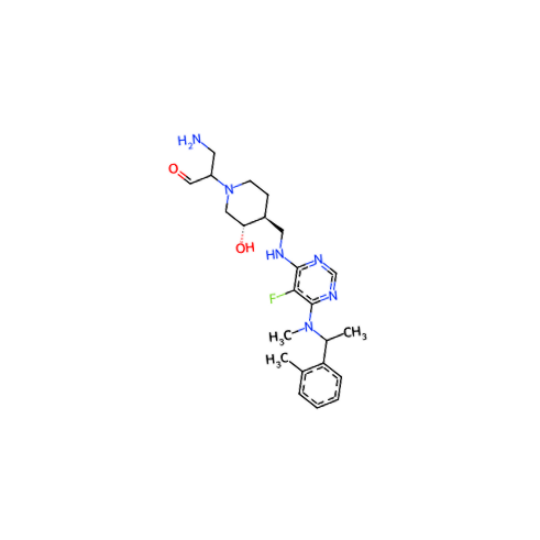 Cc1ccccc1C(C)N(C)c1ncnc(NC[C@@H]2CCN(C(C=O)CN)C[C@H]2O)c1F